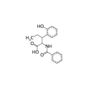 CCC(c1ccccc1O)C(NC(=O)c1ccccc1)C(=O)O